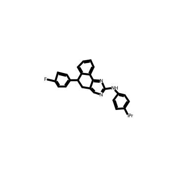 CC(C)c1ccc(Nc2ncc3c(n2)-c2ccccc2C(c2ccc(F)cc2)C3)cc1